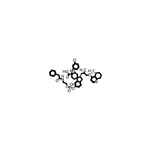 C[C@@H](COc1ccnc2c1[C@H](C)CCC2)C[C@H]1Cc2ccc(OP(=O)(O)OCCNC(=O)Cc3ccccc3)cc2C12CCC(Nc1cccc(Cl)c1)(C(=O)O)CC2